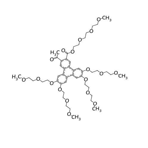 COCCOCCOCCOC(=O)c1cc2c3cc(OCCOCCOC)c(OCCOCCOC)cc3c3cc(OCCOCCOC)c(OCCOCCOC)cc3c2cc1C(C)=O